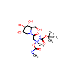 C=NC(=O)O[N+](C)(CC(=O)N1C[C@H](O)[C@@H](O)[C@H](O)[C@H]1CO)NC(=O)OC(C)(C)C